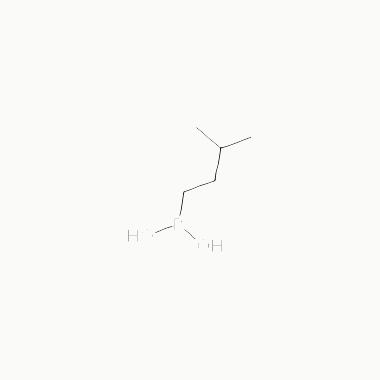 CC(C)CCP(O)O